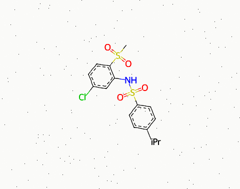 CC(C)c1ccc(S(=O)(=O)Nc2cc(Cl)ccc2S(C)(=O)=O)cc1